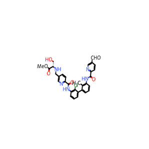 COC(=O)[C@H](CO)NCc1ccc(C(=O)Nc2cccc(-c3cccc(NC(=O)c4ccc(C=O)cn4)c3C)c2Cl)nc1